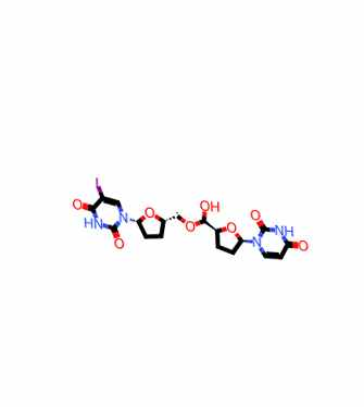 O=c1ccn([C@H]2CC[C@@H](C(O)O[CH][C@@H]3CC[C@H](n4cc(I)c(=O)[nH]c4=O)O3)O2)c(=O)[nH]1